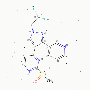 CS(=O)(=O)c1nccc(-c2cn(CC(F)F)nc2-c2cccnc2)n1